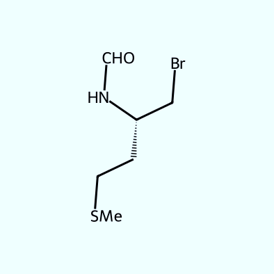 CSCC[C@@H](CBr)NC=O